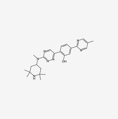 Cc1cnc(-c2ccc(-c3cnc(N(C)C4CC(C)(C)NC(C)(C)C4)nn3)c(O)c2)nc1